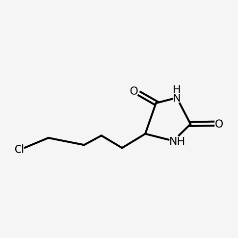 O=C1NC(=O)C(CCCCCl)N1